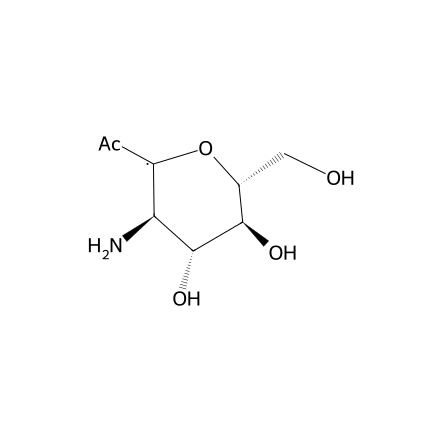 CC(=O)[C]1O[C@H](CO)[C@@H](O)[C@H](O)[C@H]1N